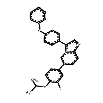 CC(C)Oc1ccc(-c2ccc3ncc(-c4ccc(Oc5ccccc5)cc4)n3c2)cc1F